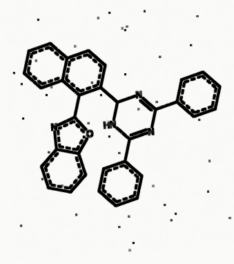 c1ccc(C2=NC(c3ccc4ccccc4c3-c3nc4ccccc4o3)NC(c3ccccc3)=N2)cc1